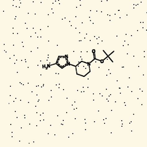 CC(C)(C)OC(=O)N1CCCC(n2cc(N)cn2)C1